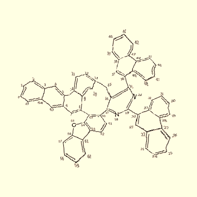 c1ccc2cc3c(cc4c5cc(ccc53)Cc3c(nc(-c5cc6ccccc6c6ccccc56)nc3-c3cc5ccccc5c5ccccc35)-c3ccc5c(oc6ccccc65)c3-4)cc2c1